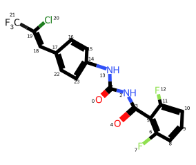 O=C(NC(=O)c1c(F)cccc1F)Nc1ccc(C=C(Cl)C(F)(F)F)cc1